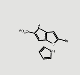 O=C(O)c1cc2sc(Br)cc2[nH]1.c1cc[nH]c1